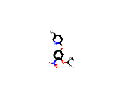 Cc1ccc(Oc2ccc([N+](=O)[O-])c(OC(C)C)c2)nc1